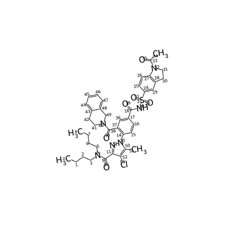 CCCCN(CCCC)C(=O)c1nn(-c2ccc(C(=O)NS(=O)(=O)c3ccc4c(c3)CCN4C(C)=O)cc2C(=O)N2CCc3ccccc3C2)c(C)c1Cl